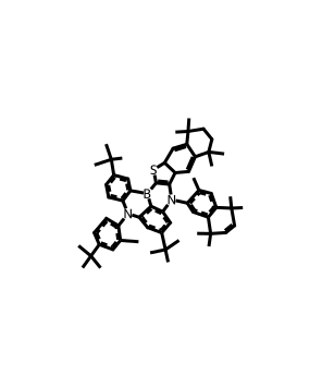 Cc1cc2c(cc1N1C3=C(SC4C=C5C(=CC34)C(C)(C)CCC5(C)C)B3c4cc(C(C)(C)C)ccc4N(c4ccc(C(C)(C)C)cc4C)c4cc(C(C)(C)C)cc1c43)C(C)(C)C=CC2(C)C